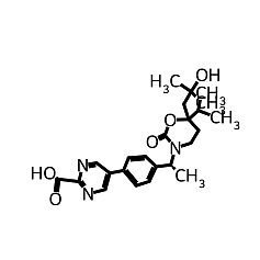 CC(C)C1(CC(C)(C)O)CCN([C@@H](C)c2ccc(-c3cnc(C(=O)O)nc3)cc2)C(=O)O1